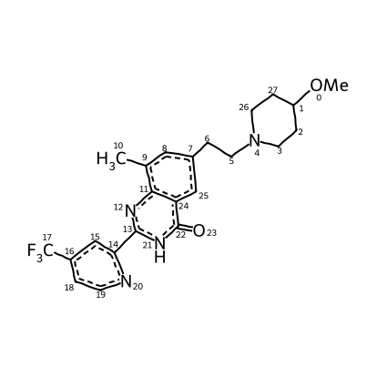 COC1CCN(CCc2cc(C)c3nc(-c4cc(C(F)(F)F)ccn4)[nH]c(=O)c3c2)CC1